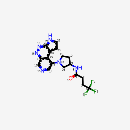 O=C(CCC(F)(F)F)NC1CCN(c2cncc3nnc4[nH]ccc4c23)C1